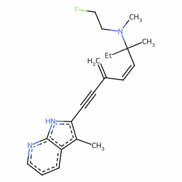 C=C(C#Cc1[nH]c2ncccc2c1C)/C=C\C(C)(CC)N(C)CCF